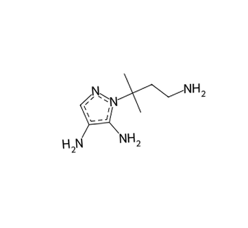 CC(C)(CCN)n1ncc(N)c1N